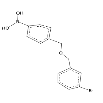 OB(O)c1ccc(COCc2cccc(Br)c2)cc1